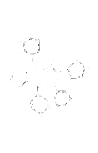 C1=CCC2C(=C1)C(c1ccccc1)C1C(N=C(c3ccccc3)N1c1ccccc1)C2c1ccccc1